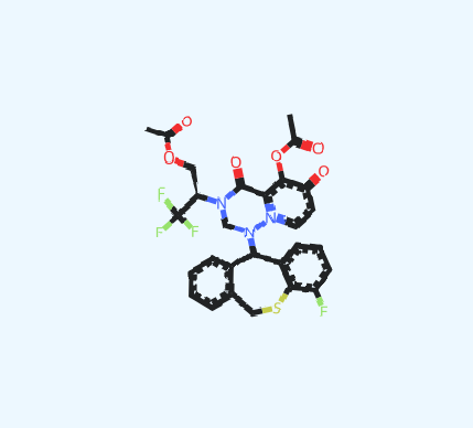 CC(=O)OC[C@@H](N1CN(C2c3ccccc3CSc3c(F)cccc32)n2ccc(=O)c(OC(C)=O)c2C1=O)C(F)(F)F